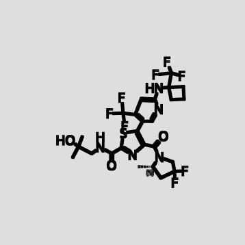 C[C@H]1CC(F)(F)CN1C(=O)c1nc(C(=O)NCC(C)(C)O)sc1-c1cnc(NC2(C(F)(F)F)CCC2)cc1C(F)(F)F